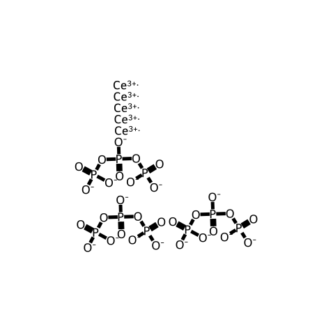 O=P([O-])([O-])OP(=O)([O-])OP(=O)([O-])[O-].O=P([O-])([O-])OP(=O)([O-])OP(=O)([O-])[O-].O=P([O-])([O-])OP(=O)([O-])OP(=O)([O-])[O-].[Ce+3].[Ce+3].[Ce+3].[Ce+3].[Ce+3]